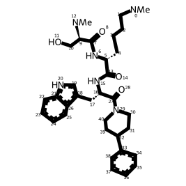 CNCCCC[C@@H](NC(=O)[C@@H](CO)NC)C(=O)N[C@@H](Cc1c[nH]c2ccccc12)C(=O)N1CCC(c2ccccc2)CC1